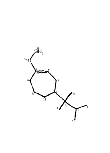 CC(C)C(C)(C)C1CC=C(O[SiH3])CCC1